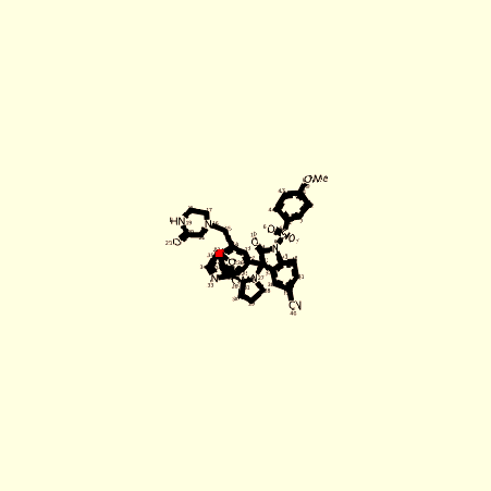 COc1ccc(S(=O)(=O)N2C(=O)C(c3cc(CN4CCNC(=O)C4)ccc3OC)(N3CCC[C@H]3c3ncco3)c3cc(C#N)ccc32)cc1